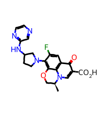 C[C@H]1COc2c(N3CCC(Nc4cnccn4)C3)c(F)cc3c(=O)c(C(=O)O)cn1c23